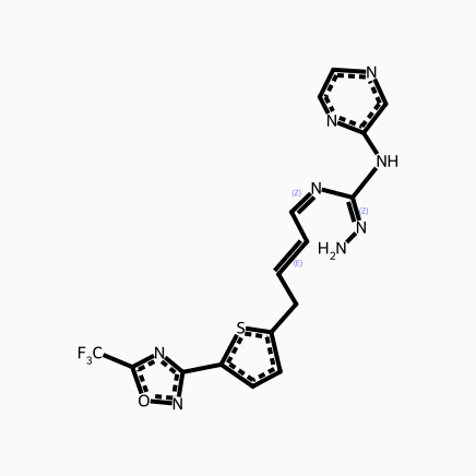 N\N=C(/N=C\C=C\Cc1ccc(-c2noc(C(F)(F)F)n2)s1)Nc1cnccn1